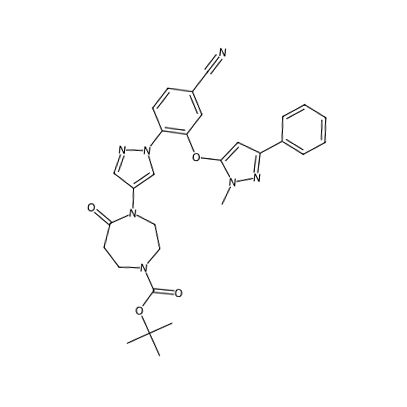 Cn1nc(-c2ccccc2)cc1Oc1cc(C#N)ccc1-n1cc(N2CCN(C(=O)OC(C)(C)C)CCC2=O)cn1